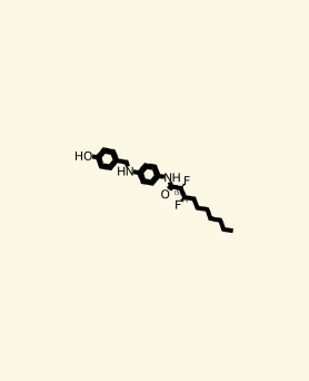 CCCCCCC[C@@H](F)[C@@H](F)C(=O)Nc1ccc(NCc2ccc(O)cc2)cc1